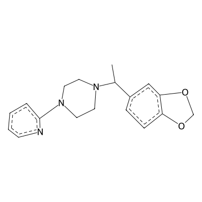 CC(c1ccc2c(c1)OCO2)N1CCN(c2ccccn2)CC1